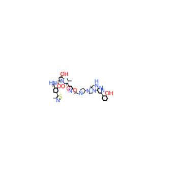 Cc1ncsc1-c1ccc([C@H](C)NC(=O)[C@@H]2C[C@@H](O)CN2C(=O)[C@@H](c2cc(O[C@@H](C)CN3CCC(N4CCN5c6cc(-c7ccccc7O)nnc6NCC5(C)C4)C3)no2)C(C)C)cc1